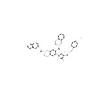 Cc1c(C(=O)NCc2ccc(O)cc2)cc(-c2cc3c(cc2C(=O)N2Cc4ccccc4C[C@H]2C)CN(C(=O)Oc2cnc4[nH]ccc4c2)CC3)n1C